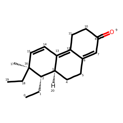 CC[C@H]1[C@@H]2CCC3=CC(=O)CCC3=C2C=C[C@]1(C)CC